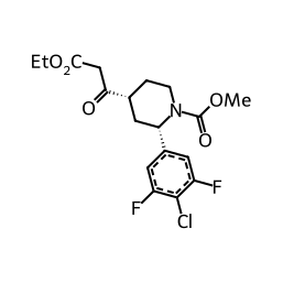 CCOC(=O)CC(=O)[C@@H]1CCN(C(=O)OC)[C@H](c2cc(F)c(Cl)c(F)c2)C1